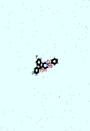 O=S(=O)(c1ccccc1)N1CCC(C(O)(c2ccc(F)cc2)c2ccc(F)cc2)CC1